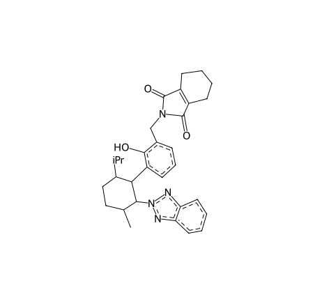 CC(C)C1CCC(C)C(n2nc3ccccc3n2)C1c1cccc(CN2C(=O)C3=C(CCCC3)C2=O)c1O